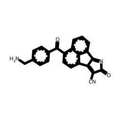 N#CC1=C2C(=NC1=O)c1cccc3c(C(=O)c4ccc(CN)cc4)ccc2c13